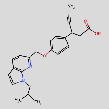 CC#CC(CC(=O)O)c1ccc(OCc2ccc3ccn(CC(C)C)c3n2)cc1